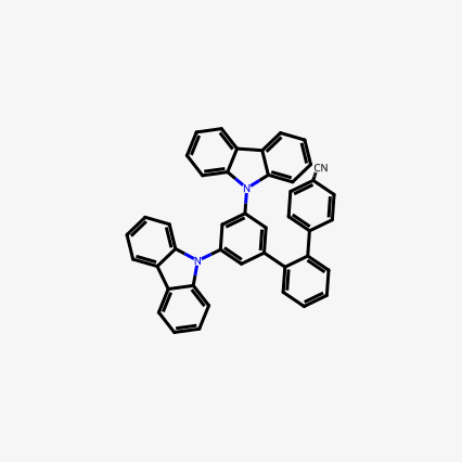 N#Cc1ccc(-c2ccccc2-c2cc(-n3c4ccccc4c4ccccc43)cc(-n3c4ccccc4c4ccccc43)c2)cc1